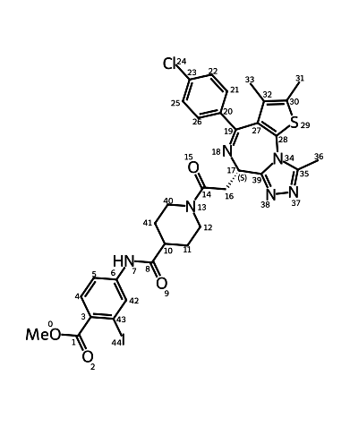 COC(=O)c1ccc(NC(=O)C2CCN(C(=O)C[C@@H]3N=C(c4ccc(Cl)cc4)c4c(sc(C)c4C)-n4c(C)nnc43)CC2)cc1I